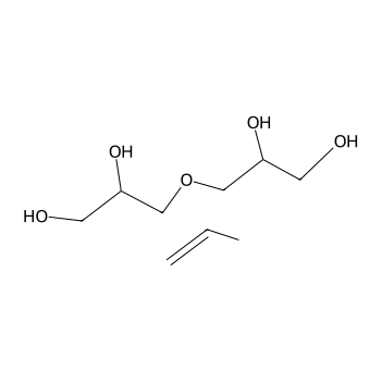 C=CC.OCC(O)COCC(O)CO